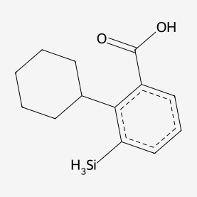 O=C(O)c1cccc([SiH3])c1C1CCCCC1